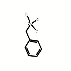 [Cl][Zn]([Cl])([Cl])[CH2]c1ccccc1